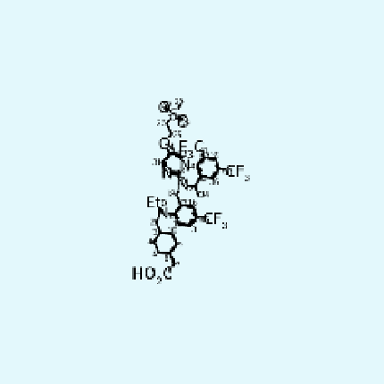 CCN(CC1CCC(CC(=O)O)CC1)c1ccc(C(F)(F)F)cc1CN(c1ncc(OCCS(C)(=O)=O)cn1)C(C)c1cc(C(F)(F)F)cc(C(F)(F)F)c1